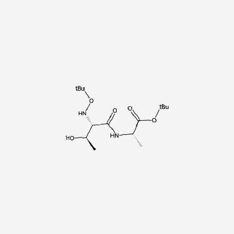 C[C@H](NC(=O)[C@@H](NOC(C)(C)C)[C@@H](C)O)C(=O)OC(C)(C)C